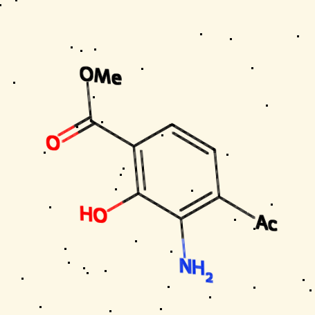 COC(=O)c1ccc(C(C)=O)c(N)c1O